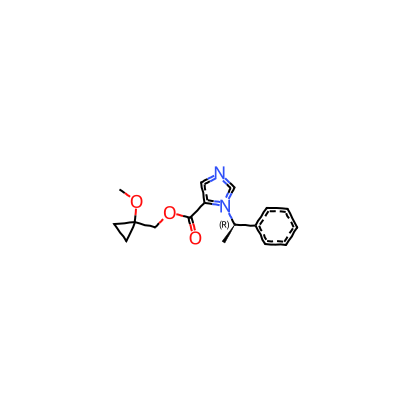 COC1(COC(=O)c2cncn2[C@H](C)c2ccccc2)CC1